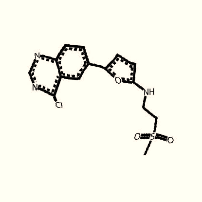 CS(=O)(=O)CCNc1ccc(-c2ccc3ncnc(Cl)c3c2)o1